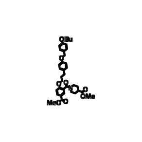 COC(=O)c1ccc(OCCCc2ccc(OCc3ccc(OCC(C)C)cc3)cc2)c(C(=O)N2CCC(C(=O)OC)CC2)c1